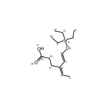 CC=C(C=CO[Si](CC)(CC)CC)CCC(=O)O